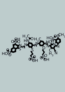 COc1ccc2nc3c(C#N)c(C)c(N=Nc4cc(C)c(N=Nc5cc(NC(C)=O)c(N=Nc6nc7c(S(=O)(=O)O)cc8cc(S(=O)(=O)O)ccc8c7s6)cc5SCCCS(=O)(=O)O)cc4OCCCS(=O)(=O)O)c(O)n3c2c1S(=O)(=O)O